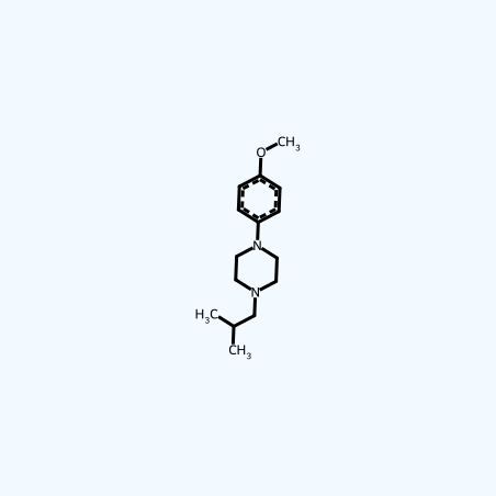 COc1ccc(N2CCN(CC(C)C)CC2)cc1